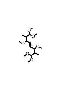 COC(/C=C/C(OC)C(C)C(OC)OC)C(C)C(OC)OC